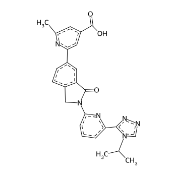 Cc1cc(C(=O)O)cc(-c2ccc3c(c2)C(=O)N(c2cccc(-c4nncn4C(C)C)n2)C3)n1